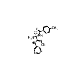 Cc1ccc(C(=O)N[C@](N)(C(=NC#N)Nc2cncnc2)C(Cl)(Cl)Cl)cc1